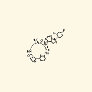 CN1CCCNC(=O)c2scnc2-c2cccc(n2)N[C@H]2C[C@@H](C1=O)N(c1ncnc3c1cnn3-c1ccc(F)cc1F)C2